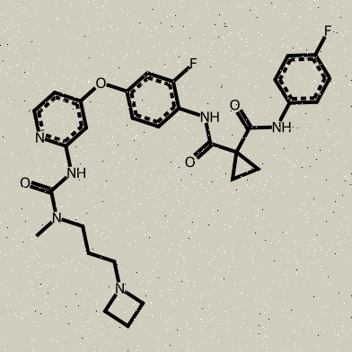 CN(CCCN1CCC1)C(=O)Nc1cc(Oc2ccc(NC(=O)C3(C(=O)Nc4ccc(F)cc4)CC3)c(F)c2)ccn1